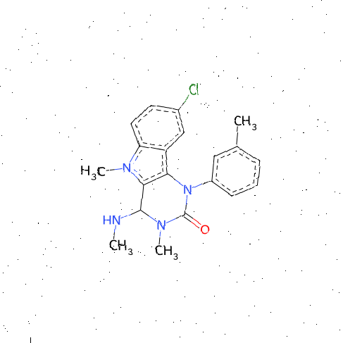 CNC1c2c(c3cc(Cl)ccc3n2C)N(c2cccc(C)c2)C(=O)N1C